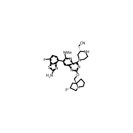 CNc1nc2c(N3CCN[C@@H](CC#N)C3)nc(OC[C@@]34CCCN3C[C@H](F)C4)nc2cc1-c1ccc(F)c2sc(N)nc12